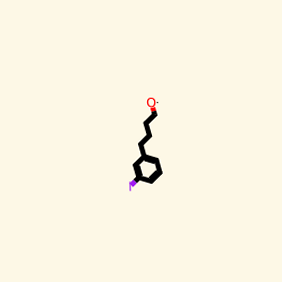 [O]CCCCc1cccc(I)c1